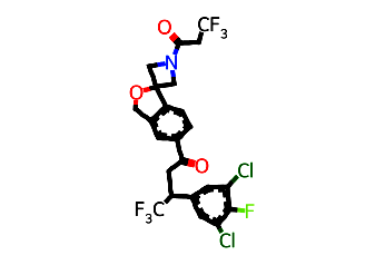 O=C(CC(c1cc(Cl)c(F)c(Cl)c1)C(F)(F)F)c1ccc2c(c1)COC21CN(C(=O)CC(F)(F)F)C1